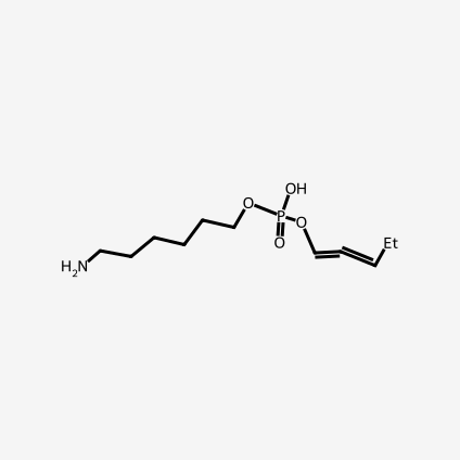 CCC=C=COP(=O)(O)OCCCCCCN